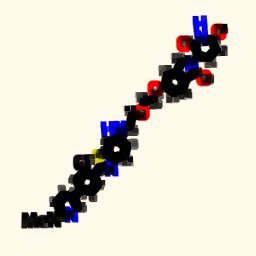 CNc1ccc(-c2ccc(-c3nc4ccc(NCCOCCOc5ccc6c(c5)CN(C5CCC(=O)NC5=O)C6=O)cc4s3)c(C(F)(F)F)c2)cn1